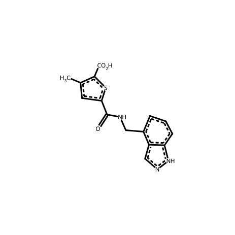 Cc1cc(C(=O)NCc2cccc3[nH]ncc23)sc1C(=O)O